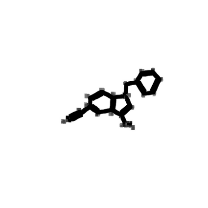 Cc1cn(Cc2ccccc2)c2ccc(C#N)cc12